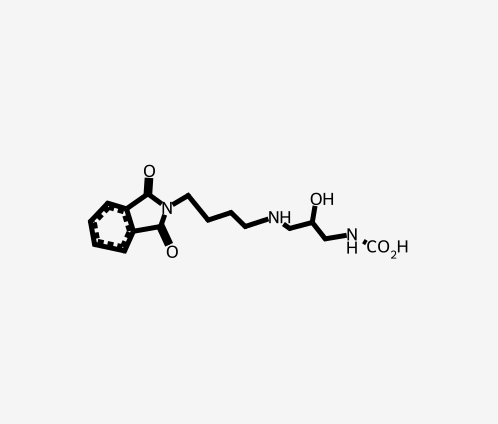 O=C(O)NCC(O)CNCCCCN1C(=O)c2ccccc2C1=O